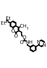 CCN(CC)c1ccc2c(C)c(CCOC(=O)NCc3cccc(-c4cnccn4)c3)c(=O)oc2c1